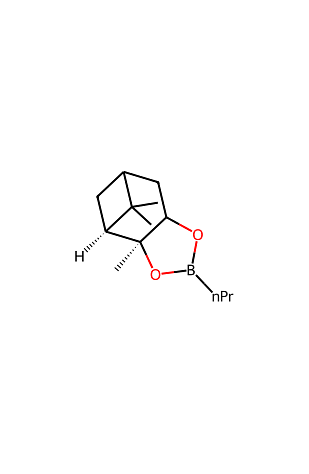 CCCB1OC2CC3C[C@@H](C3(C)C)[C@]2(C)O1